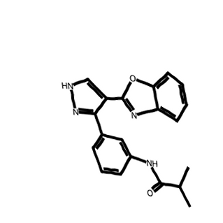 CC(C)C(=O)Nc1cccc(-c2n[nH]cc2-c2nc3ccccc3o2)c1